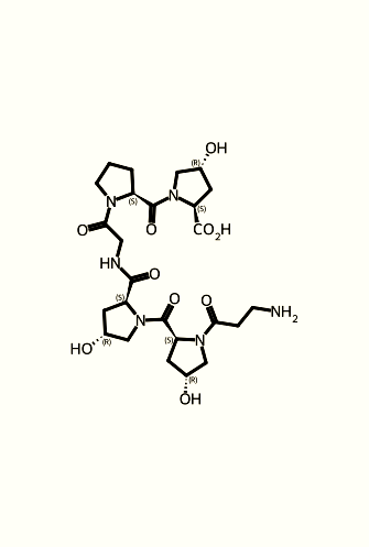 NCCC(=O)N1C[C@H](O)C[C@H]1C(=O)N1C[C@H](O)C[C@H]1C(=O)NCC(=O)N1CCC[C@H]1C(=O)N1C[C@H](O)C[C@H]1C(=O)O